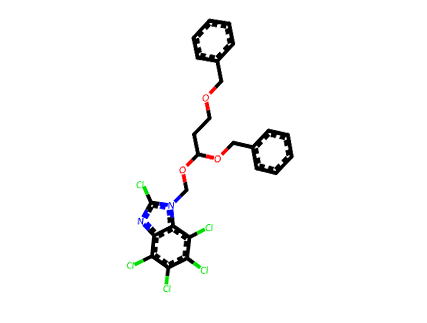 Clc1c(Cl)c(Cl)c2c(nc(Cl)n2COC(CCOCc2ccccc2)OCc2ccccc2)c1Cl